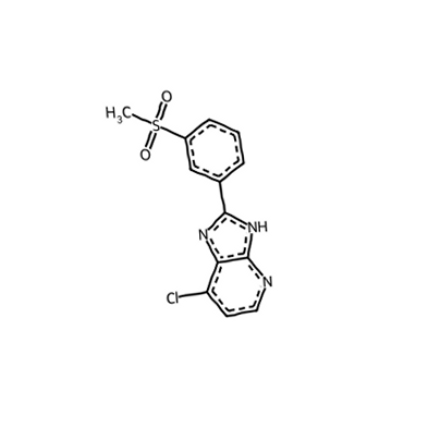 CS(=O)(=O)c1cccc(-c2nc3c(Cl)ccnc3[nH]2)c1